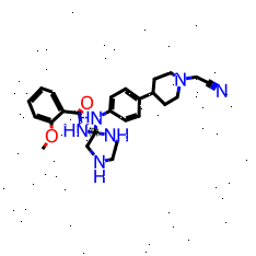 COc1ccccc1C(=O)N[C@]1(Nc2ccc(C3CCN(CC#N)CC3)cc2)CNCCN1